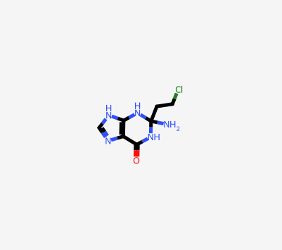 NC1(CCCl)NC(=O)c2nc[nH]c2N1